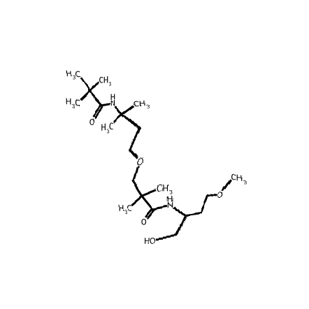 COCCC(CO)NC(=O)C(C)(C)COCCC(C)(C)NC(=O)C(C)(C)C